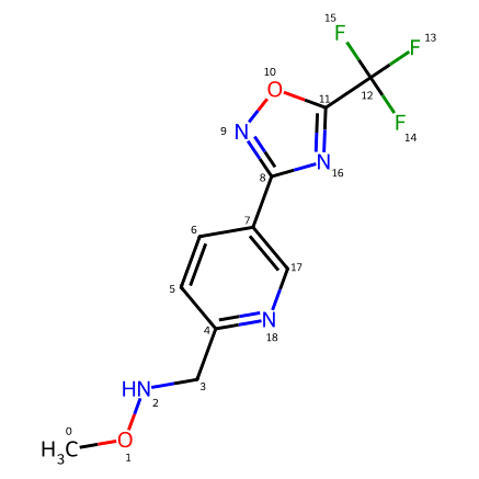 CONCc1ccc(-c2noc(C(F)(F)F)n2)cn1